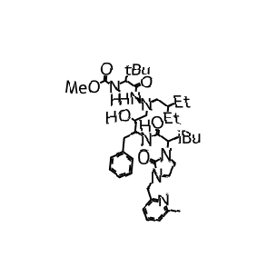 CCC(CC)CN(CC(O)C(Cc1ccccc1)NC(=O)C(C(C)CC)N1CCN(Cc2cccc(C)n2)C1=O)NC(=O)C(NC(=O)OC)C(C)(C)C